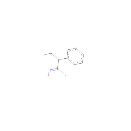 CCC(/C(N)=N/O)c1ccccc1